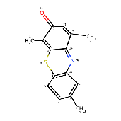 Cc1ccc2sc3c(C)c(=O)cc(C)c-3nc2c1